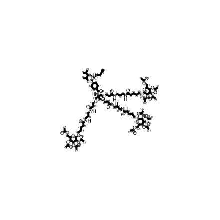 C#CCCOP(NC(C(C)C)C(C)C)OC1CCC(C(=O)NC(COCCC(=O)NCCCNC(=O)CCCCOC2OC(COC(C)=O)C(OC(C)=O)C(OC(C)=O)C2NC(C)=O)(COCCC(=O)NCCCNC(=O)CCCCOC2OC(COC(C)=O)C(OC(C)=O)C(OC(C)=O)C2NC(C)=O)COCCC(=O)NCCCNC(=O)CCCCOC2OC(COC(C)=O)C(OC(C)=O)C(OC(C)=O)C2NC(C)=O)CC1